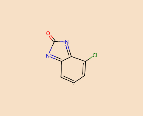 O=C1N=c2c[c]cc(Cl)c2=N1